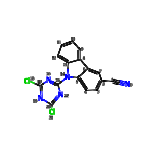 N#Cc1ccc2c(c1)c1ccccc1n2-c1nc(Cl)nc(Cl)n1